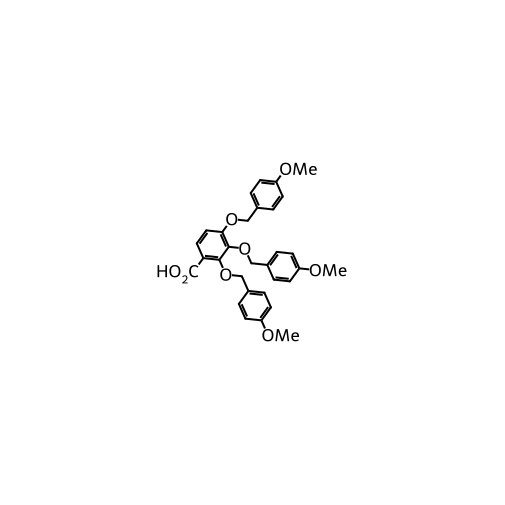 COc1ccc(COc2ccc(C(=O)O)c(OCc3ccc(OC)cc3)c2OCc2ccc(OC)cc2)cc1